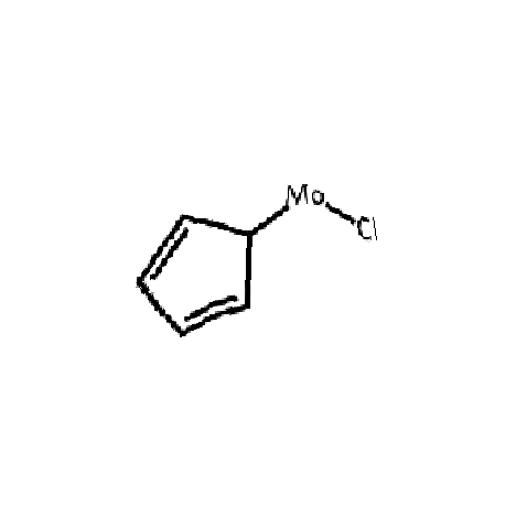 [Cl][Mo][CH]1C=CC=C1